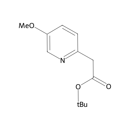 COc1ccc(CC(=O)OC(C)(C)C)nc1